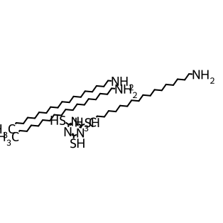 CCCCCCCCCCCCCCCCCCN.CCCCCCCCCCCCCCCCCCN.CCCCCCCCCCCCCCCCCCN.Sc1nc(S)nc(S)n1